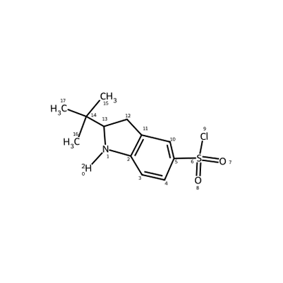 [2H]N1c2ccc(S(=O)(=O)Cl)cc2CC1C(C)(C)C